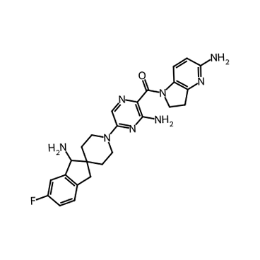 Nc1ccc2c(n1)CCN2C(=O)c1ncc(N2CCC3(CC2)Cc2ccc(F)cc2C3N)nc1N